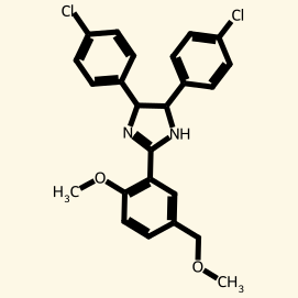 COCc1ccc(OC)c(C2=NC(c3ccc(Cl)cc3)C(c3ccc(Cl)cc3)N2)c1